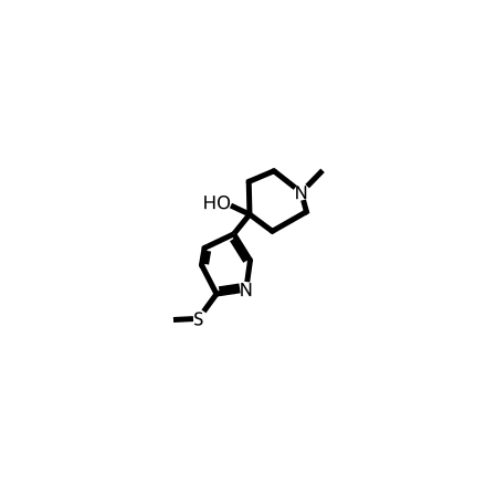 CSc1ccc(C2(O)CCN(C)CC2)cn1